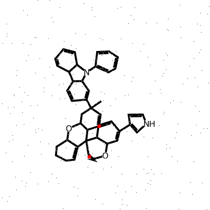 CC1(C2=CC3C(C=C2)C2C=CC=CC2N3c2ccccc2)C=CC2C(C1)OC1CCCC=C1C21C2C=CC=CC2OC2C=C(c3cc[nH]c3)C=CC21